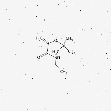 C=C(O[Si](C)(C)C)C(=O)NCC